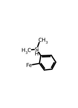 C[SiH](C)c1cccc[c]1[Fe]